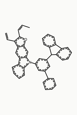 C=Cc1c(/C=C\C)oc2cc3c(cc12)c1ccccc1n3-c1cc(-c2ccccc2)cc(C2c3ccccc3-c3ccccc32)c1